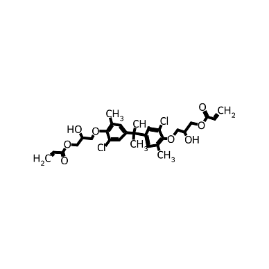 C=CC(=O)OCC(O)COc1c(C)cc(C(C)(C)c2cc(C)c(OCC(O)COC(=O)C=C)c(Cl)c2)cc1Cl